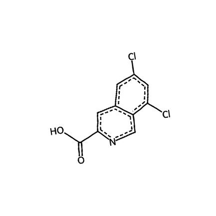 O=C(O)c1cc2cc(Cl)cc(Cl)c2cn1